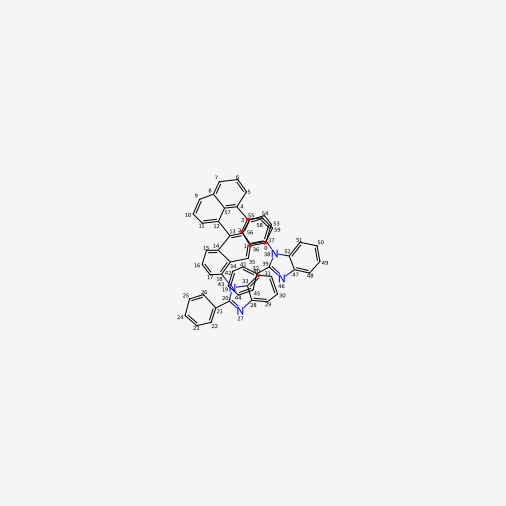 c1ccc(-c2cccc3cccc(-c4c5cccc(-n6c(-c7ccccc7)nc7ccccc76)c5cc5c(-n6c(-c7ccccc7)nc7ccccc76)cccc45)c23)cc1